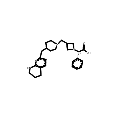 O=C(O)[C@H](c1ccccc1)N1CC(CN2CCC(Cc3ccc4c(n3)NCCC4)CC2)C1